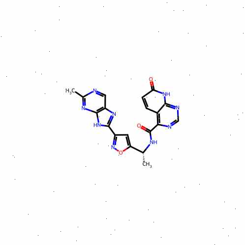 Cc1ncc2nc(-c3cc([C@@H](C)NC(=O)c4ncnc5[nH]c(=O)ccc45)on3)[nH]c2n1